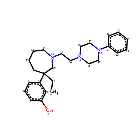 CCC1(c2cccc(O)c2)CCCCN(CCN2CCN(c3ccccc3)CC2)C1